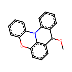 COB1c2ccccc2N2c3ccccc3Oc3cccc1c32